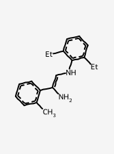 CCc1cccc(CC)c1N/C=C(\N)c1ccccc1C